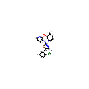 CC(C)(C)c1ccccc1Oc1ncccc1Nc1nc(CCl)c(-c2ccccc2)s1